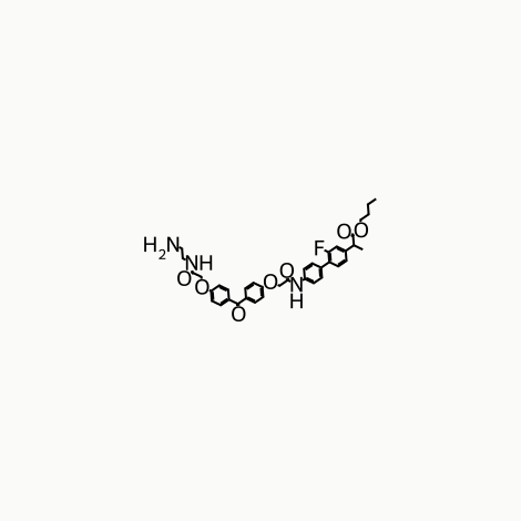 CCCCOC(=O)C(C)c1ccc(-c2ccc(NC(=O)COc3ccc(C(=O)c4ccc(OCC(=O)NCCN)cc4)cc3)cc2)c(F)c1